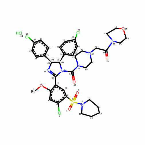 CCOc1cc(Cl)c(S(=O)(=O)N2CCCCC2)cc1C1=N[C@@H](c2ccc(Cl)cc2)[C@@H](c2ccc(Cl)cc2)N1C(=O)N1CCN(CC(=O)N2CCOCC2)CC1.Cl